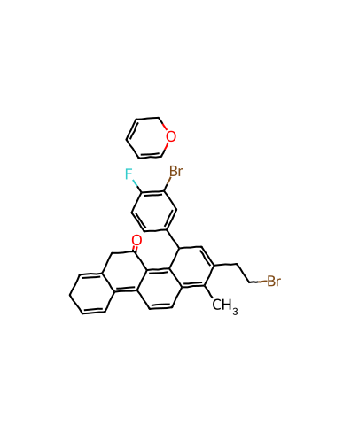 C1=CCOC=C1.CC1=c2ccc3c(c2C(c2ccc(F)c(Br)c2)C=C1CCBr)C(=O)CC1=CCC=CC=31